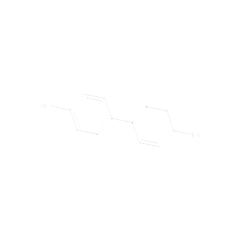 CCC1C=CC(c2ccc(O)cc2)CC1